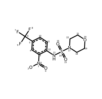 O=[N+]([O-])c1cc(C(F)(F)F)ccc1NS(=O)(=O)N1CCOCC1